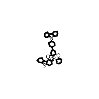 O=P12c3ccccc3Oc3cc(-c4ccc(-n5c6ccccc6c6ccccc65)cc4)cc(c31)Oc1c2ccc2sc3ccccc3c12